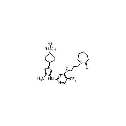 [2H]C([2H])([2H])N1CCC(n2cc(Nc3ncc(C(F)(F)F)c(NCCCN4CCCCCC4=O)n3)c(C)n2)CC1